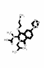 CCCCOc1c(N(C)C(=O)O)n(CC(C)C)c(=O)c2ccc(-n3cnnn3)cc12